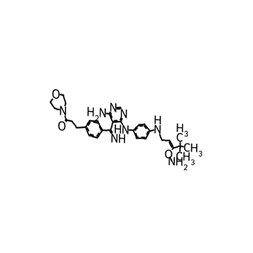 CC(C)(C)/C(=C/CNc1ccc(Nc2ncnc(N)c2C(=N)c2ccc(CCC(=O)N3CCOCC3)cc2)cc1)ON